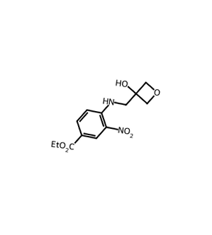 CCOC(=O)c1ccc(NCC2(O)COC2)c([N+](=O)[O-])c1